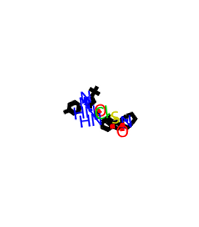 Cc1ccc(-n2nc(C(C)(C)C)cc2NC(=O)Nc2ccc(CC3CC4CCC(C3)N4C(=O)c3ccc(Cl)s3)cc2)cc1